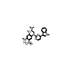 CNc1cc(OC)c(N(CCN(C)C)c2nccc(-c3cn(C)c4ccccc34)n2)cc1[N+](=O)[O-]